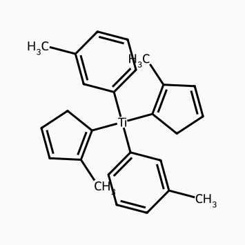 CC1=[C]([Ti]([C]2=C(C)C=CC2)([c]2cccc(C)c2)[c]2cccc(C)c2)CC=C1